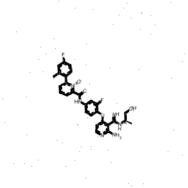 Cc1cc(F)ccc1-c1cccc(C(=O)Nc2ccc(Oc3ccnc(N)c3C(=N)N[C@H](C)CO)c(F)c2)[n+]1[O-]